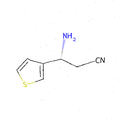 N#CC[C@@H](N)c1ccsc1